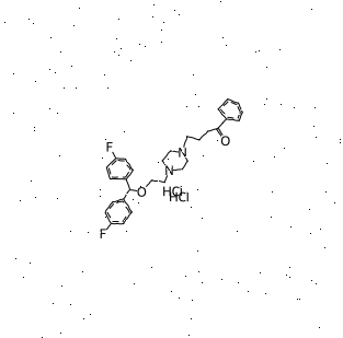 Cl.Cl.O=C(CCCN1CCN(CCOC(c2ccc(F)cc2)c2ccc(F)cc2)CC1)c1ccccc1